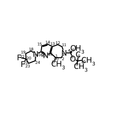 C[C@@H]1CN(C(=O)OC(C)(C)C)CCc2ccc(N3CCC(F)(F)CC3)nc21